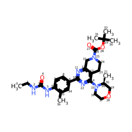 CCNC(=O)Nc1ccc(-c2nc3c(c(N4CCOC[C@@H]4C)n2)CCN(C(=O)OC(C)(C)C)C3)cc1C